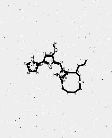 CCCC1CCCCCCc2cc1c(C=C1N=C(c3ccc[nH]3)C=C1OC)[nH]2